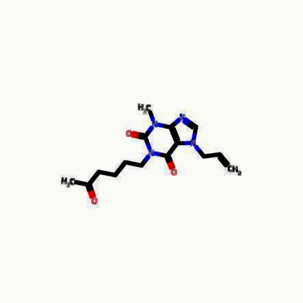 C=CCn1cnc2c1c(=O)n(CCCCC(C)=O)c(=O)n2C